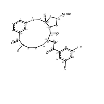 CC(=O)N[C@H]1C[C@H]2COc3cccc(c3)C(=O)N(C)CCC[C@H](NC(=O)c3cc(F)cc(F)c3)C(=O)N2C1